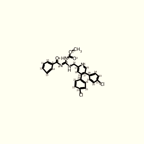 COC(=O)N/C(=N\C(=O)c1ccccc1)NCc1cc(-c2ccc(Cl)cc2)c(-c2ccc(Cl)cc2)cn1